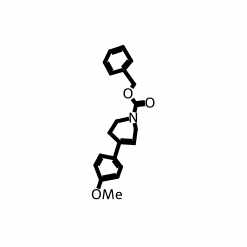 COc1ccc(C2=CCN(C(=O)OCc3ccccc3)CC2)cc1